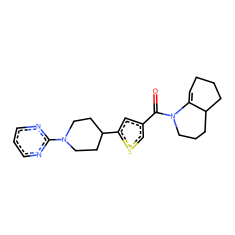 O=C(c1csc(C2CCN(c3ncccn3)CC2)c1)N1CCCC2CCCC=C21